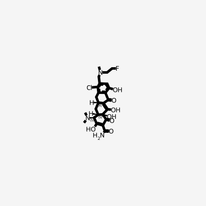 CN(CCF)Cc1cc(O)c2c(c1Cl)C[C@H]1C[C@H]3[C@H](N(C)C)C(O)=C(C(N)=O)C(=O)[C@@]3(O)C(O)=C1C2=O